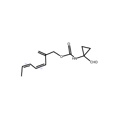 C=C(/C=C\C=C/C)COC(=O)NC1(C=O)CC1